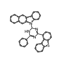 c1ccc(C2=NC(c3cccc4sc5ccccc5c34)=NC(n3c4ccccc4c4cc5ccccc5cc43)N2)cc1